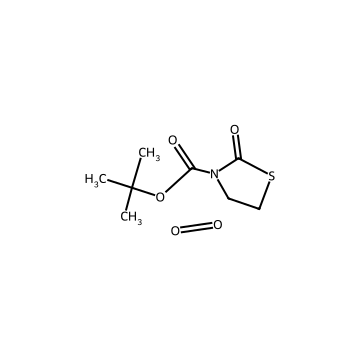 CC(C)(C)OC(=O)N1CCSC1=O.O=O